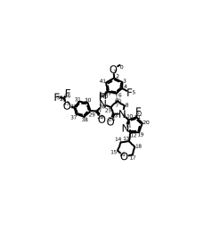 COc1cc(F)c([C@@H]2CN(c3nc(C4CCOCC4)ccc3F)C(=O)C2NC(=O)c2ccc(OC(F)F)cc2)c(F)c1